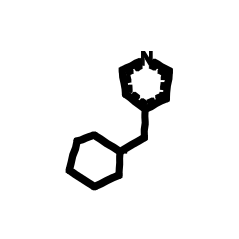 c1cc(C[C]2CCCCC2)ccn1